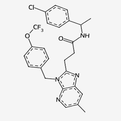 Cc1cnc2c(c1)nc(CCC(=O)NC(C)c1ccc(Cl)cc1)n2Cc1ccc(OC(F)(F)F)cc1